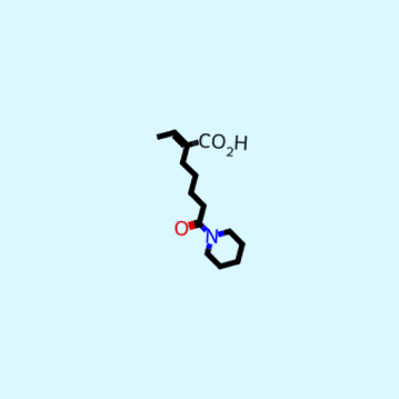 C/C=C(\CCCCC(=O)N1CCCCC1)C(=O)O